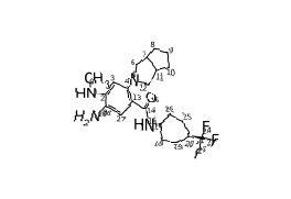 CNc1cc(N2CC3CCCC3C2)c(C(=O)N[C@H]2CC[C@H](C(F)(F)F)CC2)cc1N